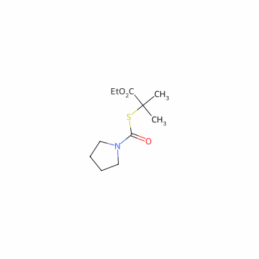 CCOC(=O)C(C)(C)SC(=O)N1CCCC1